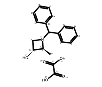 C[C@H]1[C@H](O)CN1C(c1ccccc1)c1ccccc1.O=C(O)C(=O)O